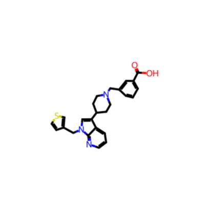 O=C(O)c1cccc(CN2CCC(c3cn(Cc4ccsc4)c4ncccc34)CC2)c1